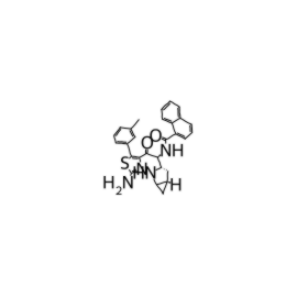 Cc1cccc(-c2sc(N)nc2C(=O)[C@@H](NC(=O)c2cccc3ccccc23)[C@@H]2C[C@@H]3CC3N2)c1